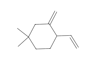 C=CC1CCC(C)(C)CC1=C